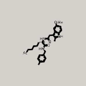 COc1ccc2[nH]c(C)c(CC(=O)N[C@@H](CCCCCC(C)=O)C(=O)NCc3ccc(C)cc3)c2c1